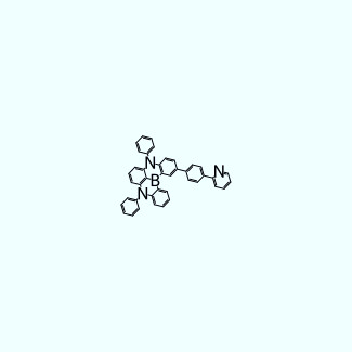 c1ccc(N2c3ccccc3B3c4cc(-c5ccc(-c6ccccn6)cc5)ccc4N(c4ccccc4)c4cccc2c43)cc1